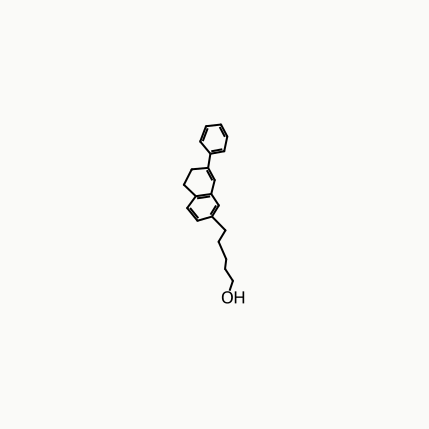 OCCCCCc1ccc2c(c1)C=C(c1ccccc1)CC2